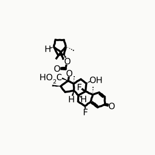 C[C@@H]1C[C@H]2[C@@H]3C[C@H](F)C4=CC(=O)C=C[C@]4(C)C3(F)[C@@H](O)C[C@]2(C)[C@]1(OC(=O)O[C@H]1C[C@H]2CC[C@]1(C)C2(C)C)C(=O)O